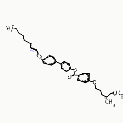 CCCCCC/C=C/Oc1ccc(-c2ccc(OC(=O)c3ccc(OCCC[C@@H](C)CC)cc3)cc2)cc1